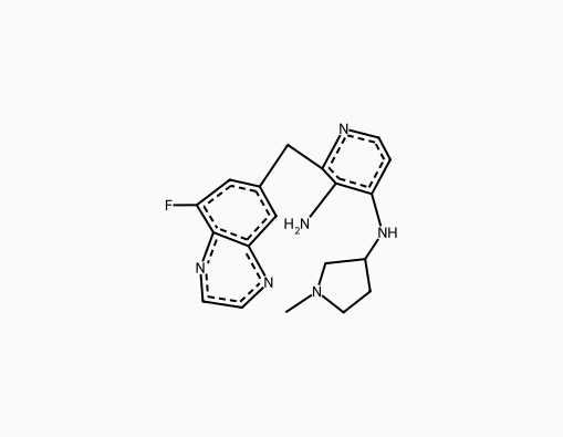 CN1CCC(Nc2ccnc(Cc3cc(F)c4nccnc4c3)c2N)C1